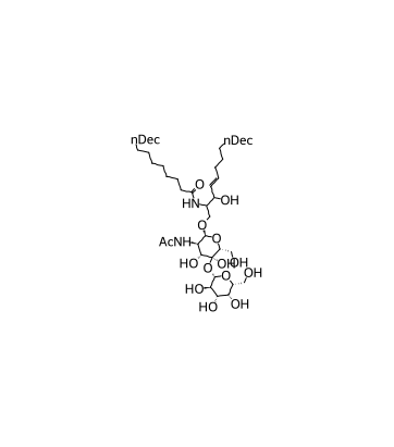 CCCCCCCCCCCCCC=CC(O)C(CO[C@H]1O[C@H](CO)[C@@](O)(O[C@@H]2O[C@H](CO)[C@H](O)[C@H](O)[C@H]2O)[C@H](O)[C@H]1NC(C)=O)NC(=O)CCCCCCCCCCCCCCCCC